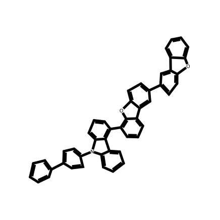 c1ccc(-c2ccc(-n3c4ccccc4c4c(-c5cccc6c5oc5ccc(-c7ccc8oc9ccccc9c8c7)cc56)cccc43)cc2)cc1